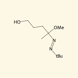 COC(C)(CCCO)/N=N/C(C)(C)C